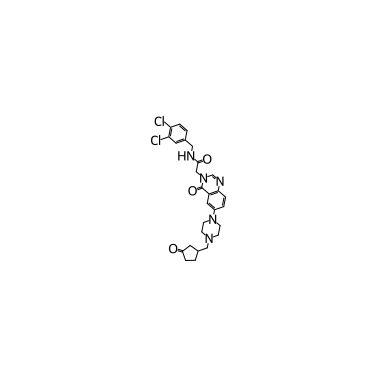 O=C1CCC(CN2CCN(c3ccc4ncn(CC(=O)NCc5ccc(Cl)c(Cl)c5)c(=O)c4c3)CC2)C1